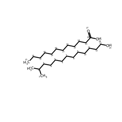 CC(C)CCCCCCCCCCCO.CCCCCCCCCCCC(=O)O